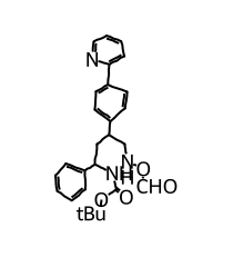 CC(C)(C)OC(=O)NC(CC(CNOC=O)c1ccc(-c2ccccn2)cc1)c1ccccc1